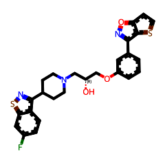 O[C@@H](COc1cccc(-c2noc3ccsc23)c1)CN1CCC(c2nsc3cc(F)ccc23)CC1